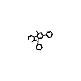 C/C=C\c1c(C)n(-c2ccccc2)c2cc(-c3ccccc3)cc(C)c12